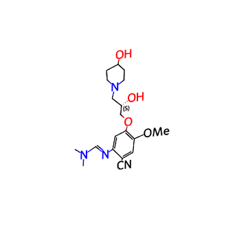 COc1cc(C#N)c(N=CN(C)C)cc1OC[C@@H](O)CN1CCC(O)CC1